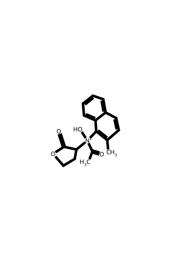 CC(=O)[N+](O)(c1c(C)ccc2ccccc12)C1CCOC1=O